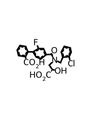 O=C(O)c1ccccc1-c1ccc(C(=O)N(Cc2ccccc2Cl)C[C@@H](O)C(=O)O)cc1F